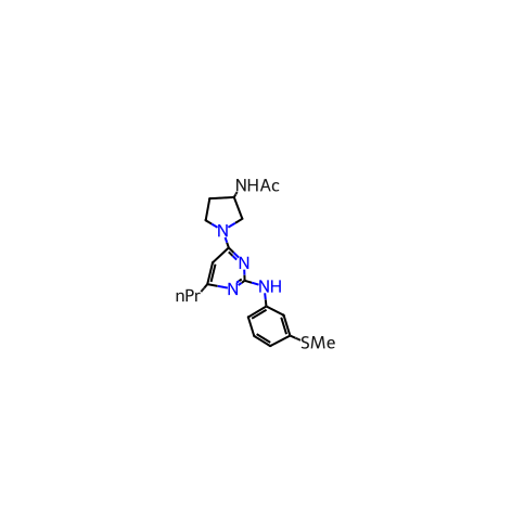 CCCc1cc(N2CCC(NC(C)=O)C2)nc(Nc2cccc(SC)c2)n1